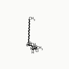 CCCCCCCCCCCCCCCCCCS(=O)(=O)CC(C)c1n[nH]c2c(Cl)c(C)nn12